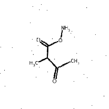 CC(=O)C(C)C(=O)ON